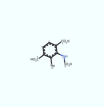 O=C(O)c1ccc(C(=O)O)c(NS(=O)(=O)O)[c]1[Na]